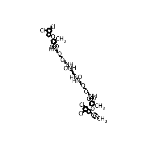 Cc1cc(S(=O)(=O)NCCOCCOCCNC(=O)NCCCCNC(=O)NCCOCCOCCNS(=O)(=O)c2ccc(O[C@H]3c4cc(Cl)cc(Cl)c4C[C@@H]3N3CCN(C)CC3)c(C)c2)ccc1O[C@@H]1CCc2c(Cl)cc(Cl)cc21